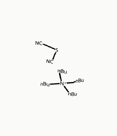 CCCC[N+](CCCC)(CCCC)CCCC.N#CSC#N